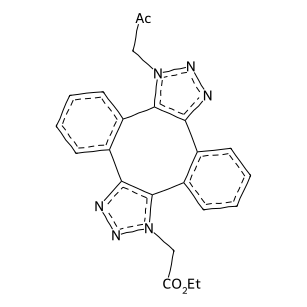 CCOC(=O)Cn1nnc2c1-c1ccccc1-c1nnn(CC(C)=O)c1-c1ccccc1-2